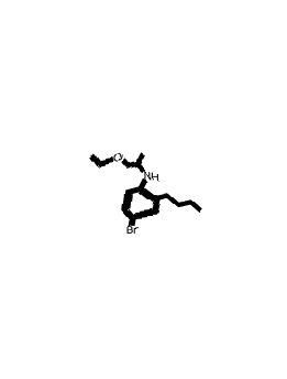 CCCCc1cc(Br)ccc1NC(C)COCC